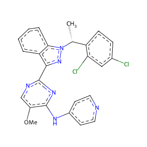 COc1cnc(-c2nn([C@H](C)c3ccc(Cl)cc3Cl)c3ccccc23)nc1Nc1ccncc1